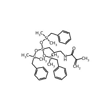 C=C(C)C(=O)NCCC[Si](O[Si](C)(C)Cc1ccccc1)(O[Si](C)(C)Cc1ccccc1)O[Si](C)(C)Cc1ccccc1